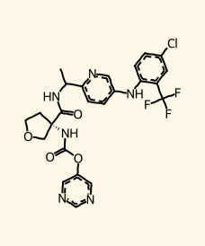 CC(NC(=O)[C@]1(NC(=O)Oc2cncnc2)CCOC1)c1ccc(Nc2ccc(Cl)cc2C(F)(F)F)cn1